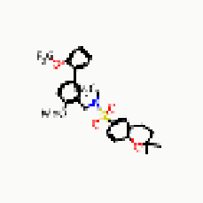 COc1ccc(-c2ccccc2OC(F)(F)F)cc1CN(CC(=O)O)S(=O)(=O)c1ccc2c(c1)CCC(C)(C)O2